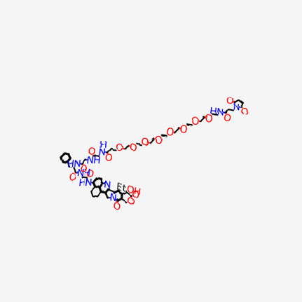 CC[C@@]1(O)C(=O)OCc2c1cc1n(c2=O)Cc2c-1nc1ccc(NC(=O)CNC(=O)[C@H](Cc3ccccc3)NC(=O)CNC(=O)CNC(=O)CCOCCOCCOCCOCCOCCOCCOCCOCCNC(=O)CCN3C(=O)C=CC3=O)c3c1c2CCC3